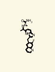 C/C(=N/N(C)C(N)=O)c1ccc2ncc(Cc3cc4cccnc4cc3F)n2n1